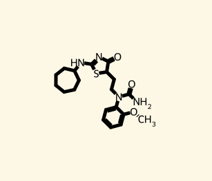 COc1ccccc1N(CCC1SC(NC2CCCCCC2)=NC1=O)C(N)=O